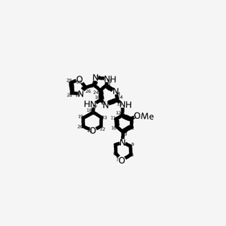 COc1cc(N2CCOCC2)ccc1Nc1nc(NC2CCOCC2)c2c(-c3ncco3)n[nH]c2n1